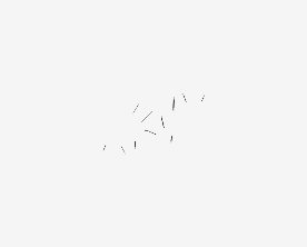 CCCCCCCCOC(=O)c1ccc(-c2c3ccsc3c(-c3ccc(C(=O)OCCCCCCCC)s3)c3ccsc23)s1